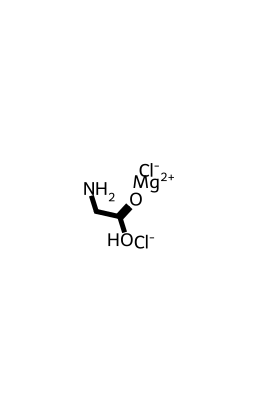 NCC(=O)O.[Cl-].[Cl-].[Mg+2]